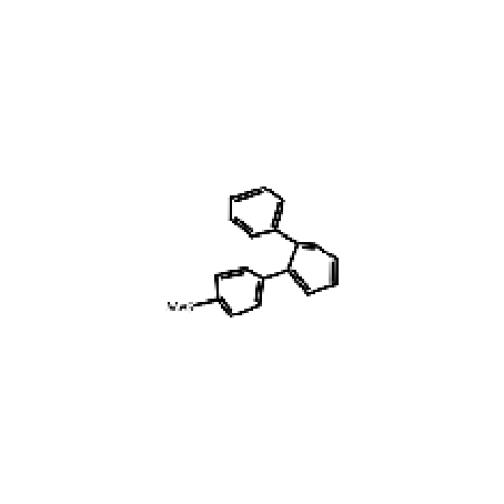 CSc1ccc(-c2ccccc2-c2ccccc2)cc1